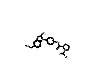 O=C(Nc1ccc(-n2c(C(F)(F)F)nc3cc(CO)ccc32)cc1)C1CCCN1C(=O)C(F)(F)F